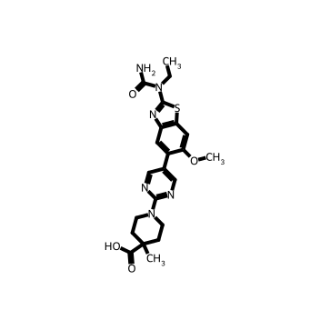 CCN(C(N)=O)c1nc2cc(-c3cnc(N4CCC(C)(C(=O)O)CC4)nc3)c(OC)cc2s1